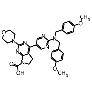 COc1ccc(CN(Cc2ccc(OC)cc2)c2ncc(-c3nc(N4CCOCC4)nc4c3CCN4C(=O)O)cn2)cc1